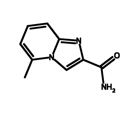 Cc1cccc2nc(C(N)=O)cn12